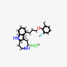 Cc1cccc(F)c1OCCCc1cccc2[nH]c3c(c12)CCNCC3.Cl